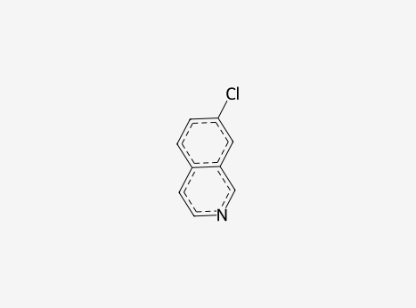 Clc1ccc2ccncc2c1